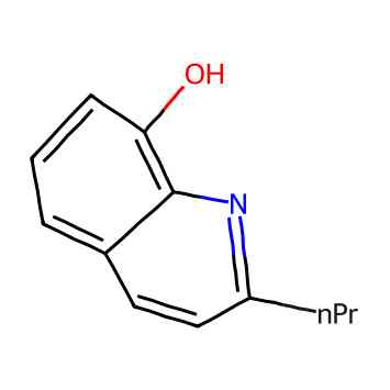 CCCc1ccc2cccc(O)c2n1